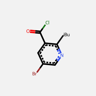 CCC(C)c1ncc(Br)cc1C(=O)Cl